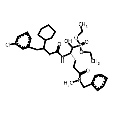 CCOP(=O)(OCC)C(O)[C@H](CCC(=O)N(C)Cc1ccccc1)NC(=O)[CH]C(Cc1cccc(Cl)c1)C1CCCCC1